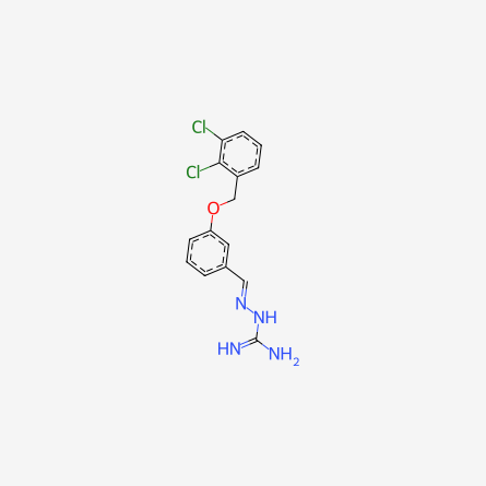 N=C(N)NN=Cc1cccc(OCc2cccc(Cl)c2Cl)c1